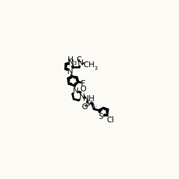 CN(C)Cc1nccn1-c1ccc(N2CCCN(N[S+]([O-])/C=C/c3ccc(Cl)s3)C2=O)c(F)c1